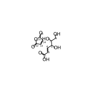 O=C(O)C=CC(O)C(O)CO.O=C1C=CC(=O)O1